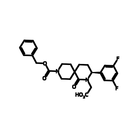 O=C(O)CN1C(=O)C2(CC[C@H]1c1cc(F)cc(F)c1)CCN(C(=O)OCc1ccccc1)CC2